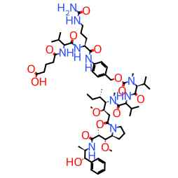 CC[C@H](C)[C@@H]([C@@H](CC(=O)N1CCC[C@H]1[C@H](OC)[C@@H](C)C(=O)N[C@H](C)[C@@H](O)c1ccccc1)OC)N(C)C(=O)C(NC(=O)[C@H](C(C)C)N(C)C(=O)OCc1ccc(NC(=O)[C@H](CCCNC(N)=O)NC(=O)[C@@H](NC(=O)CCCC(=O)O)C(C)C)cc1)C(C)C